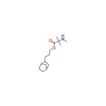 CNC(C)(C)C(=O)OCCCC1CC2CCC1C2